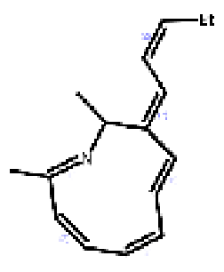 CC\C=C/C=C1/C=C/C=C\C=C/C(C)=N/C1C